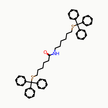 O=C(CCCCCSC(c1ccccc1)(c1ccccc1)c1ccccc1)NCCCCCCSC(c1ccccc1)(c1ccccc1)c1ccccc1